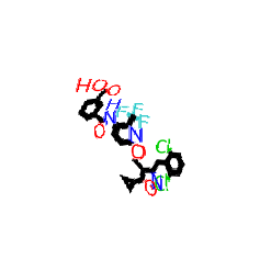 O=C(O)c1cccc(C(=O)Nc2ccc(OCC3C(Cc4c(Cl)cccc4Cl)=NOC3C3CC3)nc2C(F)(F)F)c1